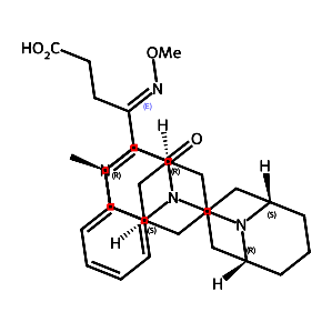 CO/N=C(\CCC(=O)O)c1nc2ccccc2n(C2C[C@H]3CCC[C@@H](C2)N3C2C[C@@H]3C[C@H](C)C[C@H](C2)C3)c1=O